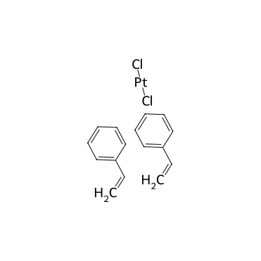 C=Cc1ccccc1.C=Cc1ccccc1.[Cl][Pt][Cl]